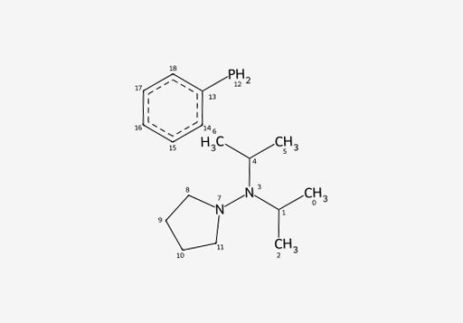 CC(C)N(C(C)C)N1CCCC1.Pc1ccccc1